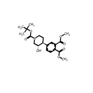 COC(=O)c1ccc([C@@H]2CCN(C(=O)OC(C)(C)C)C[C@H]2O)cc1C(=O)OC